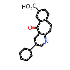 O=C(O)c1ccc2ccc3ncc(-c4ccccc4)cc3c(=O)c2c1